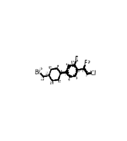 FC(=CCl)c1ccc(C2CCC(CBr)CC2)cc1F